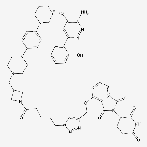 Nc1nnc(-c2ccccc2O)cc1O[C@H]1CCCN(c2ccc(N3CCN(CC4CN(C(=O)CCCCn5cc(COc6cccc7c6C(=O)N(C6CCC(=O)NC6=O)C7=O)nn5)C4)CC3)cc2)C1